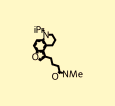 CNC(=O)CCCc1coc2ccc3c(c12)CCCN3C(C)C